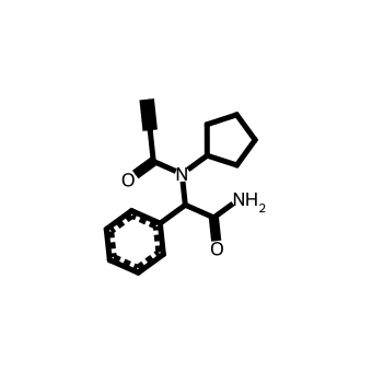 C#CC(=O)N(C1CCCC1)C(C(N)=O)c1ccccc1